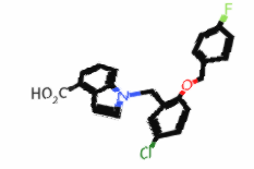 O=C(O)c1cccc2c1ccn2Cc1cc(Cl)ccc1OCc1ccc(F)cc1